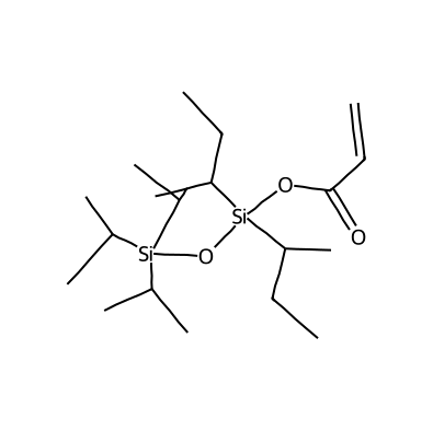 C=CC(=O)O[Si](O[Si](C(C)C)(C(C)C)C(C)C)(C(C)CC)C(C)CC